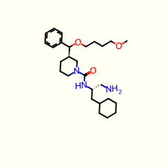 COCCCCOC(c1ccccc1)[C@@H]1CCCN(C(=O)N[C@H](CN)CC2CCCCC2)C1